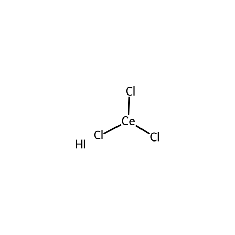 I.[Cl][Ce]([Cl])[Cl]